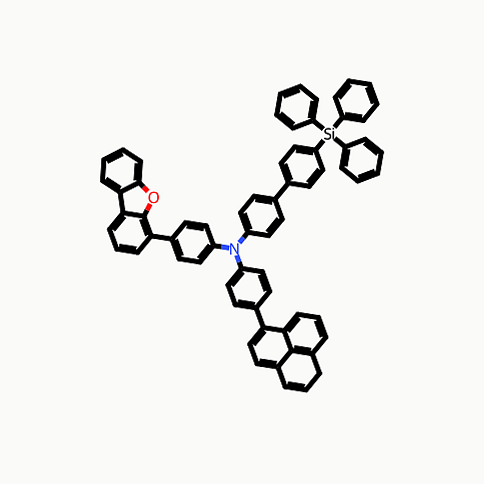 C1=Cc2ccc(-c3ccc(N(c4ccc(-c5ccc([Si](c6ccccc6)(c6ccccc6)c6ccccc6)cc5)cc4)c4ccc(-c5cccc6c5oc5ccccc56)cc4)cc3)c3cccc(c23)C1